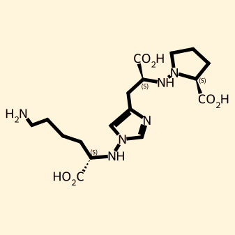 NCCCC[C@H](Nn1cnc(C[C@H](NN2CCC[C@H]2C(=O)O)C(=O)O)c1)C(=O)O